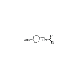 CCCCC1=CCC(CNC(=O)CC)CC1